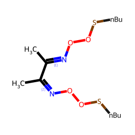 CCCCSOO/N=C(C)\C(C)=N\OOSCCCC